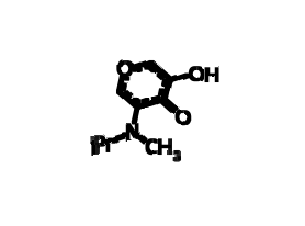 CC(C)N(C)c1cocc(O)c1=O